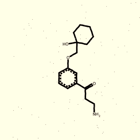 NCCC(=O)c1cccc(OCC2(O)CCCCC2)c1